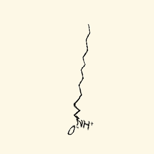 CCCCCCCCCCCCC=[NH+][O-]